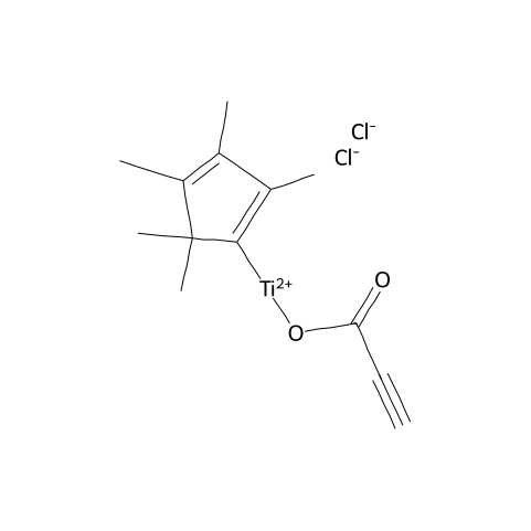 C#CC(=O)[O][Ti+2][C]1=C(C)C(C)=C(C)C1(C)C.[Cl-].[Cl-]